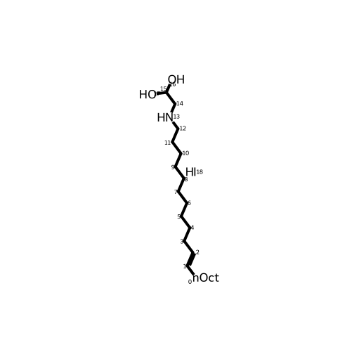 CCCCCCCCC=CCCCCCCCCCCNCC(O)O.I